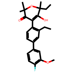 CCc1cc(-c2ccc(F)c(OC)c2)ccc1C1=C(O)C(C)(CC)OC(C)(C)C1=O